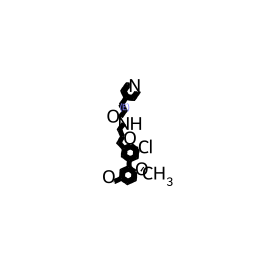 COc1ccc(C=O)cc1-c1cc(Cl)c2c(c1)CC(CNC(=O)/C=C/c1ccncc1)O2